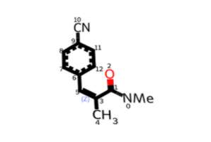 CNC(=O)/C(C)=C\c1ccc(C#N)cc1